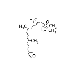 C/C(=C\C=C\C(C)CC/C=C(\C)COC(=O)C(C)(C)C)CCCc1ccoc1